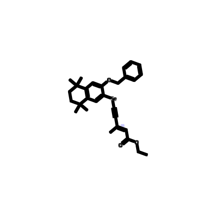 CCOC(=O)/C=C(\C)C#C[Se]c1cc2c(cc1OCc1ccccc1)C(C)(C)CCC2(C)C